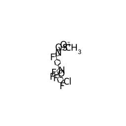 C[S+]([O-])CC(=O)N1CC(F)(c2ccc(C3=NOC(c4ccc(F)c(Cl)c4)(C(F)(F)F)C3)cc2)C1